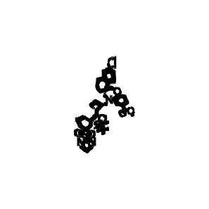 COC(=O)c1ccc2c(c1)N(C[C@@H]1CC[C@H]1[C@H](O[Si](C)(C)C(C)(C)C)[C@@H]1CCC[C@@H](S(=O)(=O)c3ncccn3)C1)C[C@@]1(CCCc3cc(Cl)ccc31)CO2